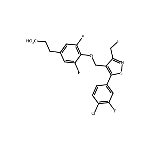 O=C(O)CCc1cc(F)c(OCc2c(CF)nsc2-c2ccc(Cl)c(F)c2)c(F)c1